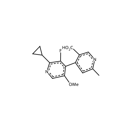 COc1cnc(C2CC2)c(F)c1-c1cc(C)ncc1C(=O)O